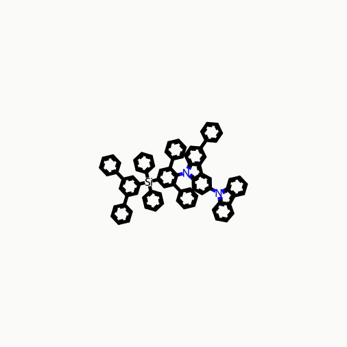 c1ccc(-c2cc(-c3ccccc3)cc([Si](c3ccccc3)(c3ccccc3)c3cc(-c4ccccc4)c(-n4c5ccc(-c6ccccc6)cc5c5cc(-n6c7ccccc7c7ccccc76)ccc54)c(-c4ccccc4)c3)c2)cc1